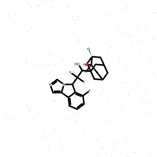 OC(C12CC3CC(C1)[C@H](O)[C@H](C3)C2)C(F)(F)C1c2c(F)cccc2-c2cncn21